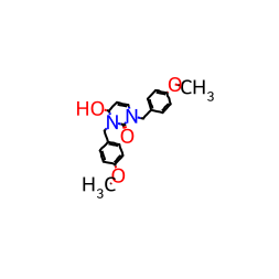 COc1ccc(CN2C=CC(O)N(Cc3ccc(OC)cc3)C2=O)cc1